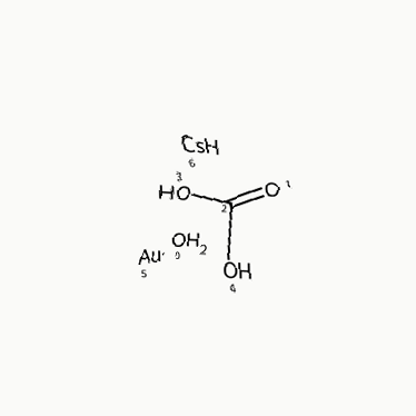 O.O=C(O)O.[Au].[CsH]